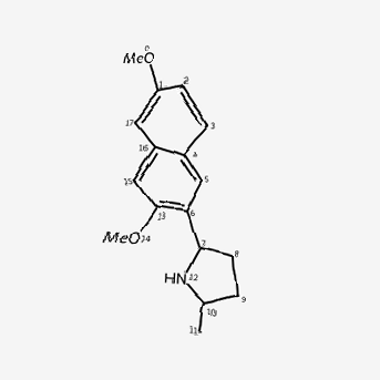 COc1ccc2cc(C3CCC(C)N3)c(OC)cc2c1